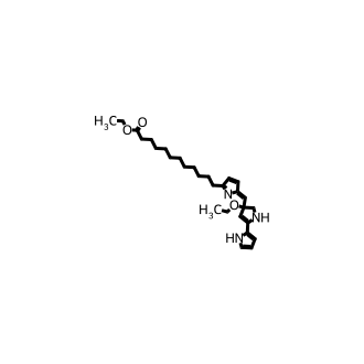 CCOC(=O)CCCCCCCCCCCC1=NC(=CC2(OCC)C=C(c3ccc[nH]3)NC2)C=C1